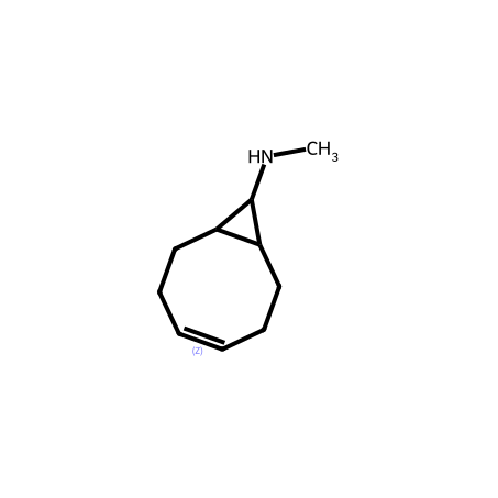 CNC1C2CC/C=C\CCC21